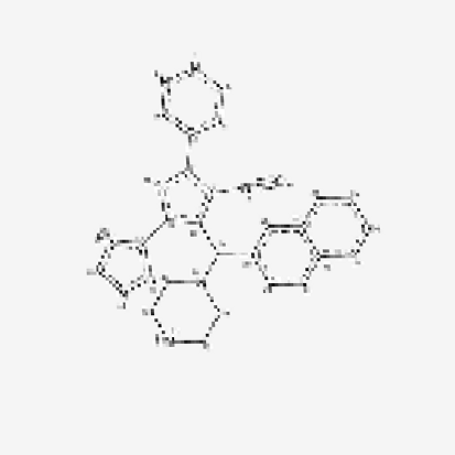 [C-]#[N+]c1c(-c2ccnnc2)sc(-c2nnc[nH]2)c1C(c1ccc2ccccc2c1)N1CCNCC1